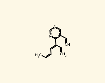 C=C/C(=C\C=C/C)c1ncncc1C=N